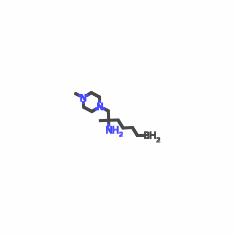 BCCCCC(C)(N)CN1CCN(C)CC1